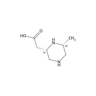 C[C@@H]1CNC[C@H](CC(=O)O)N1